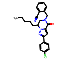 CCCCCC1CN(Cc2ccccc2C#N)C(=O)c2cc(-c3ccc(Cl)cc3)nn21